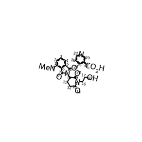 CNc1cccc2c1C(=O)N(C1CCC(=O)N(CCO)C1=O)C2=O.O=C(O)c1cccnc1